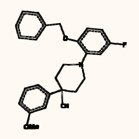 COc1cccc(C2(C#N)CCN(c3cc(F)ccc3OCc3ccccc3)CC2)c1